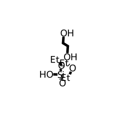 CCOCC.CCO[Si](=O)O.OCCO